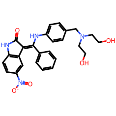 O=C1Nc2ccc([N+](=O)[O-])cc2/C1=C(/Nc1ccc(CN(CCO)CCO)cc1)c1ccccc1